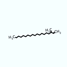 C=CC(=C)CCCCCCCCCCCCCCCC